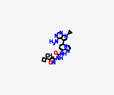 CC1(c2cc(NC(=O)Nc3ccc(-c4cn(C5CC5)c5ncnc(N)c45)n4ccnc34)no2)CCC1